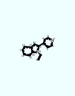 C=Cn1c(-c2ccncc2)cc2ccccc21